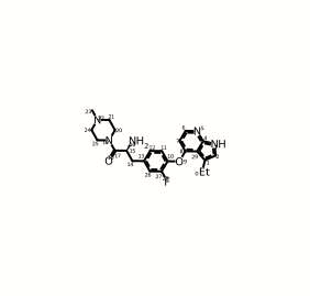 CCc1c[nH]c2nccc(Oc3ccc(C[C@H](N)C(=O)N4CCN(C)CC4)cc3F)c12